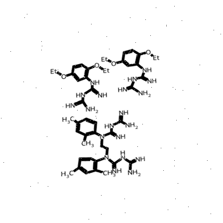 CCOc1ccc(OCC)c(NC(=N)NC(=N)N)c1.CCOc1ccc(OCC)c(NC(=N)NC(=N)N)c1.Cc1ccc(N(CCN(C(=N)NC(=N)N)c2ccc(C)cc2C)C(=N)NC(=N)N)c(C)c1